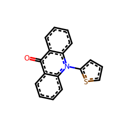 O=c1c2ccccc2n(-c2cccs2)c2ccccc12